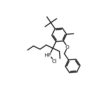 CCCCC(CC)(PCl)c1cc(C(C)(C)C)cc(C)c1OCc1ccccc1